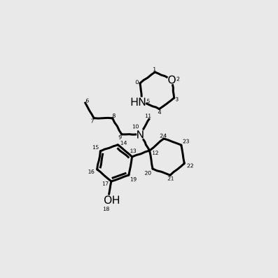 C1COCCN1.CCCCN(C)C1(c2cccc(O)c2)CCCCC1